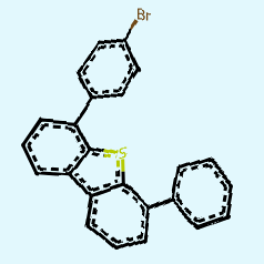 Brc1ccc(-c2cccc3c2sc2c(-c4ccccc4)cccc23)cc1